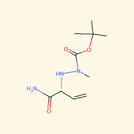 C=C[C@@H](NN(C)C(=O)OC(C)(C)C)C(N)=O